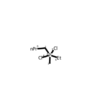 CCCCP(C)(Cl)(Cl)CC